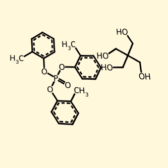 Cc1ccccc1OP(=O)(Oc1ccccc1C)Oc1ccccc1C.OCC(CO)(CO)CO